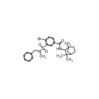 CN(Cc1ccccc1)S(=O)(=O)c1cc(C(=O)NC2C3(C)CCC(C3)C2(C)C)ccc1Br